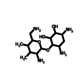 CC1C(CN)OC(OC2C(N)CC(N)C(O)C2O)C(N)C1C